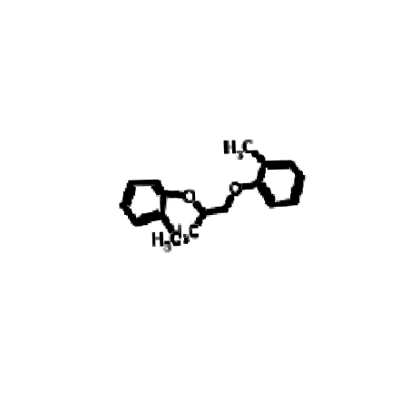 Cc1ccccc1OCC(C)Oc1ccccc1C